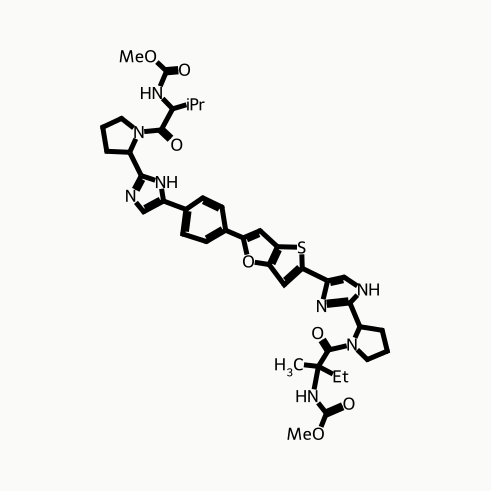 CCC(C)(NC(=O)OC)C(=O)N1CCCC1c1nc(-c2cc3oc(-c4ccc(-c5cnc(C6CCCN6C(=O)C(NC(=O)OC)C(C)C)[nH]5)cc4)cc3s2)c[nH]1